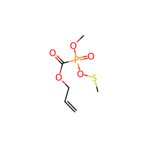 C=CCOC(=O)P(=O)(OC)OSC